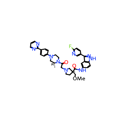 COC[C@@]1(C(=O)Nc2ccc3[nH]nc(-c4ccc(F)nc4)c3c2)CCN(CC(=O)N2CCN(c3ccc(-c4ncccn4)cc3)C[C@H]2C)C1